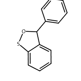 c1ccc(C2OSc3ccccc32)cc1